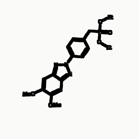 CCOP(=O)(Cc1ccc(-n2nc3cc(OC)c(OC)cc3n2)cc1)OCC